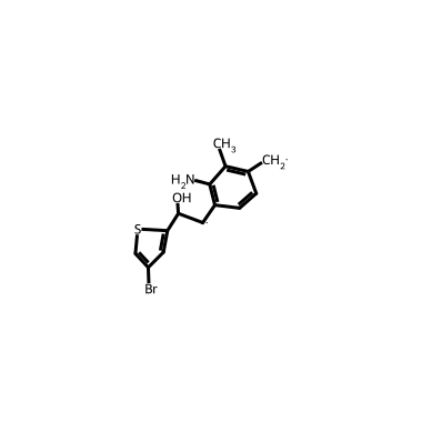 [CH2]c1ccc([CH]C(O)c2cc(Br)cs2)c(N)c1C